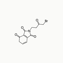 O=C(CBr)CCN1C(=O)C2=C(C(=O)CC=C2)C1=O